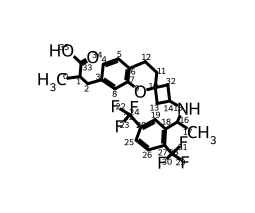 CC(Cc1ccc2c(c1)OC1(CC2)CC(NC(C)c2cc(C(F)(F)F)ccc2C(F)(F)F)C1)C(=O)O